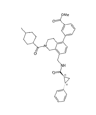 COC(=O)c1cccc(-c2ccc(CNC(=O)[C@H]3C[C@@H]3c3ccccc3)c3c2CCN(C(=O)C2CCC(C)CC2)C3)c1